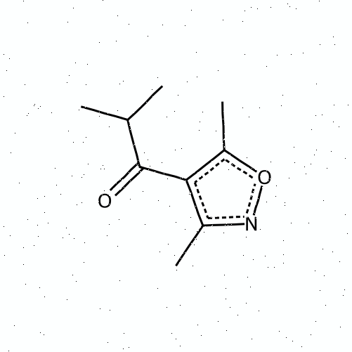 Cc1noc(C)c1C(=O)C(C)C